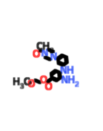 COCCOC(=O)c1ccc(Nc2cccc(N3CCN(C(C)=O)CC3)c2)c(N)c1